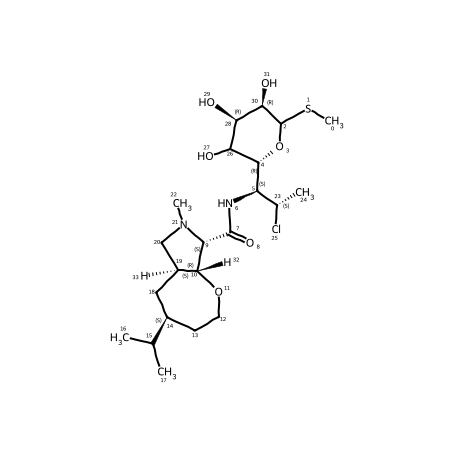 CSC1O[C@H]([C@H](NC(=O)[C@@H]2[C@@H]3OCC[C@@H](C(C)C)C[C@H]3CN2C)[C@H](C)Cl)C(O)[C@@H](O)[C@H]1O